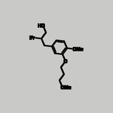 COCCCOc1cc(CC(CO)C(C)C)ccc1OC